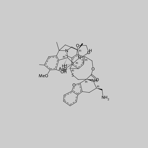 COc1c(C)cc2c(c1O)[C@@H]1[C@@H]3[C@@H]4SC[C@]5(N[C@@H](CN)Cc6c5oc5ccccc65)C(=O)OC[C@@H](c5c6c(c(C)c(OC(C)=O)c54)OCO6)N3[C@@]3(C)CN1C2(C)C3